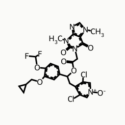 Cn1cnc2c1c(=O)n(CC(=O)OC(Cc1c(Cl)c[n+]([O-])cc1Cl)c1ccc(OC(F)F)c(OCC3CC3)c1)c(=O)n2C